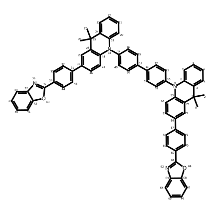 CC1(C)c2ccccc2N(c2ccc(-c3ccc(N4c5ccccc5C(C)(C)c5cc(-c6ccc(-c7nc8ccccc8o7)cc6)ccc54)cc3)cc2)c2ccc(-c3ccc(-c4nc5ccccc5o4)cc3)cc21